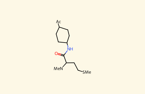 CNC(CCSC)C(=O)NC1CCC(C(C)=O)CC1